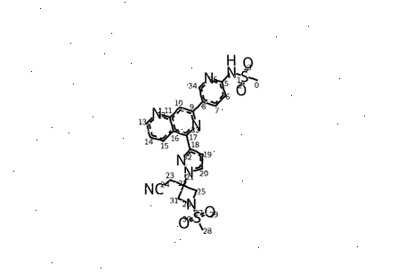 CS(=O)(=O)Nc1ccc(-c2cc3ncccc3c(-c3ccn(C4(CC#N)CN(S(C)(=O)=O)C4)n3)n2)cn1